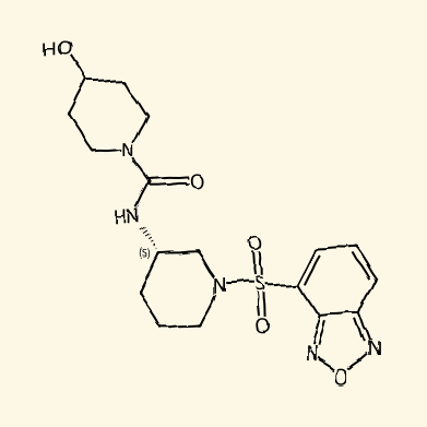 O=C(N[C@H]1CCCN(S(=O)(=O)c2cccc3nonc23)C1)N1CCC(O)CC1